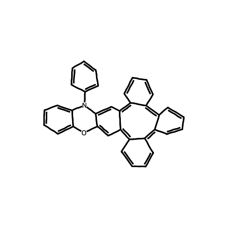 c1ccc(-n2c3ccccc3oc3cc4c5ccccc5c5ccccc5c5ccccc5c4cc32)cc1